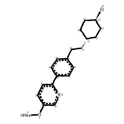 CCCCCCOc1ccc(-c2ccc(CC[C@H]3CC[C@H](CC)CC3)cc2)nc1